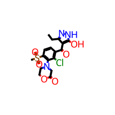 CCc1n[nH]c(O)c1C(=O)c1ccc(S(C)(=O)=O)c(N2CCOC(=O)C2)c1Cl